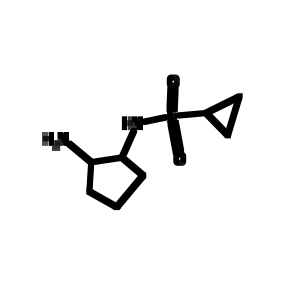 NC1CCCC1NS(=O)(=O)C1CC1